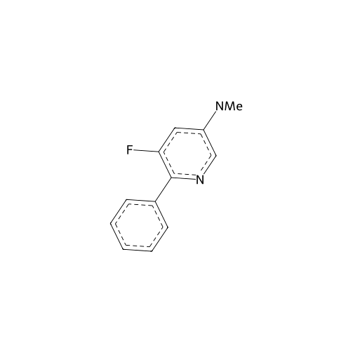 CNc1cnc(-c2ccccc2)c(F)c1